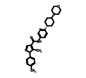 Cc1ccc(-n2ncc(C(=O)Nc3ccc([C@H]4CC[C@H](N5CCOCC5)CC4)nc3)c2C)cc1